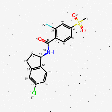 CS(=O)(=O)c1ccc(C(=O)N[C@@H]2CCc3cc(Cl)ccc32)c(F)c1